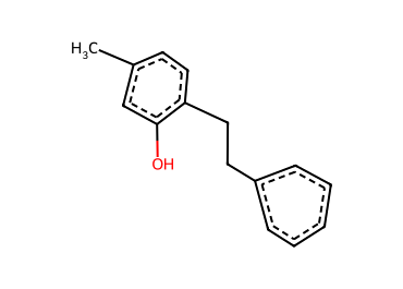 Cc1ccc(CCc2ccccc2)c(O)c1